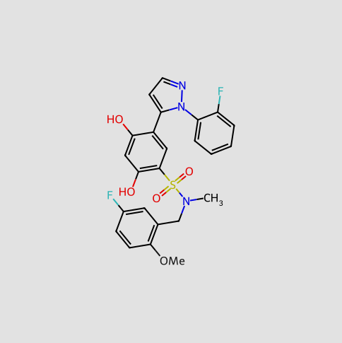 COc1ccc(F)cc1CN(C)S(=O)(=O)c1cc(-c2ccnn2-c2ccccc2F)c(O)cc1O